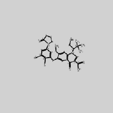 CCc1cc2c(cc1Cc1cc(N3CCCC3=O)cc(Cl)c1F)c(=O)c(C(=O)O)cn2C(CO)C(C)(C)C